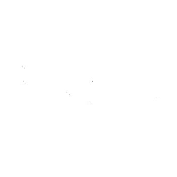 COc1cc(C(=O)O)ccc1Nc1ncc2c(n1)-c1c(nn(C)c1-c1ccccc1Cl)CC2C